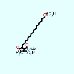 COC(=O)C(CCCCCCCCCCCCCCCCOS(=O)(=O)O)=C(C(=O)OC)C(C)C(=O)O